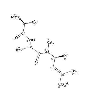 CN[C@H](C(=O)N[C@H](C(=O)N(C)[C@H](/C=C(\C)C(=O)O)C(C)C)C(C)(C)C)C(C)(C)C